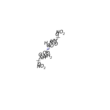 CC(C)(CNC(=O)C(N)OC(=O)/C=C/C(=O)OC(N)C(=O)NCC(C)(C)CO[N+](=O)[O-])CO[N+](=O)[O-]